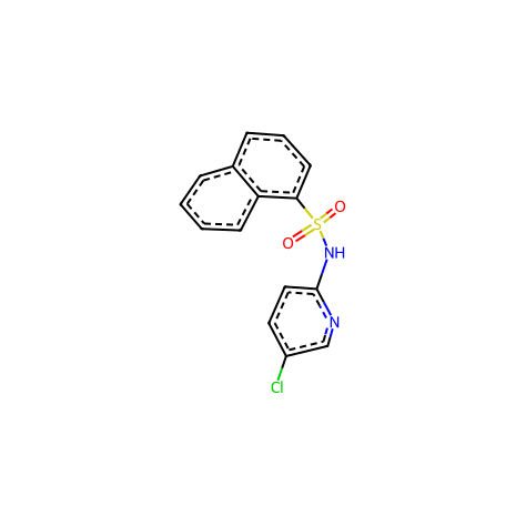 O=S(=O)(Nc1ccc(Cl)cn1)c1cccc2ccccc12